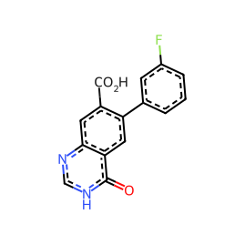 O=C(O)c1cc2nc[nH]c(=O)c2cc1-c1cccc(F)c1